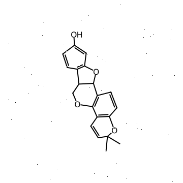 CC1(C)C=Cc2c(ccc3c2OCC2c4ccc(O)cc4OC32)O1